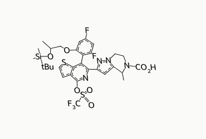 CC(COc1cc(F)cc(F)c1-c1c(-c2cc3n(n2)CCN(C(=O)O)C3C)nc(OS(=O)(=O)C(F)(F)F)c2ccsc12)O[Si](C)(C)C(C)(C)C